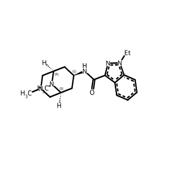 CCn1nc(C(=O)N[C@@H]2C[C@@H]3CN(C)C[C@H](C2)N3C)c2ccccc21